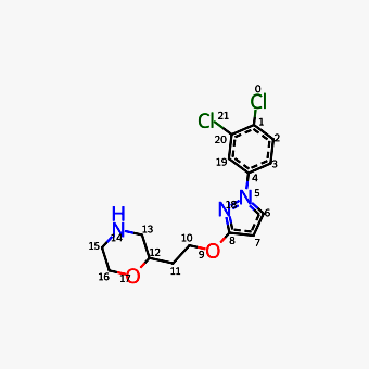 Clc1ccc(-n2ccc(OCCC3CNCCO3)n2)cc1Cl